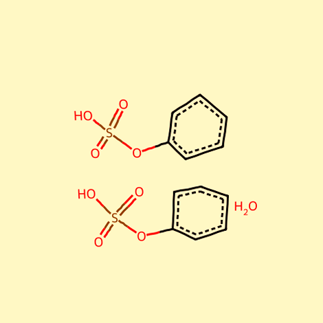 O.O=S(=O)(O)Oc1ccccc1.O=S(=O)(O)Oc1ccccc1